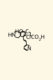 Clc1ccc2c(c1/C=C/c1cccnc1)CCNCC2.O=C(O)CCC(=O)O